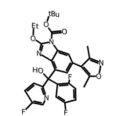 CCOc1nc2c(C(O)(c3ccc(F)cn3)c3cc(F)ccc3F)cc(-c3c(C)noc3C)cc2n1C(=O)OC(C)(C)C